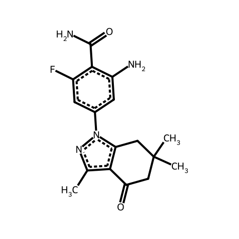 Cc1nn(-c2cc(N)c(C(N)=O)c(F)c2)c2c1C(=O)CC(C)(C)C2